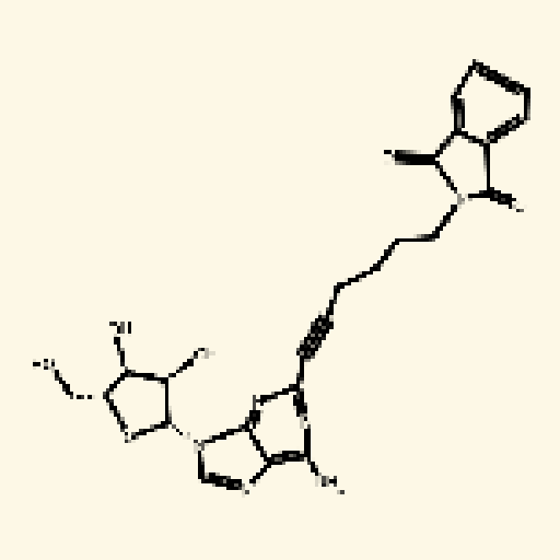 Nc1nc(C#CCCCCN2C(=O)c3ccccc3C2=O)nc2c1ncn2[C@@H]1O[C@H](CO)[C@@H](O)[C@H]1O